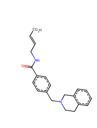 O=C(O)C=CCNC(=O)c1ccc(CN2CCc3ccccc3C2)cc1